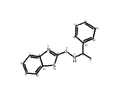 CC(NSc1nc2ccccc2s1)c1ccccc1